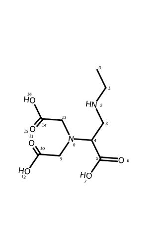 CCNCC(C(=O)O)N(CC(=O)O)CC(=O)O